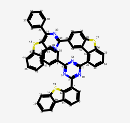 c1ccc(-c2nc(-c3cccc4c3sc3ccccc34)nc(-c3cccc4sc5ccc(-c6nc(-c7ccccc7)c7sc8ccccc8c7n6)cc5c34)n2)cc1